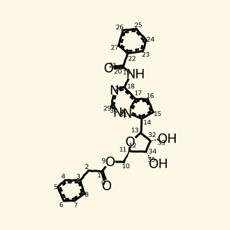 O=C(Cc1ccccc1)OC[C@H]1OC(c2ccc3c(NC(=O)c4ccccc4)ncnn23)[C@H](O)[C@@H]1O